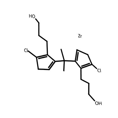 CC(C)(C1=CCC(Cl)=C1CCCO)C1=CCC(Cl)=C1CCCO.[Zr]